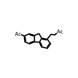 CC(=O)CCc1cccc2c1Cc1cc(C(C)=O)ccc1-2